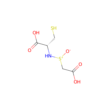 O=C(O)C[S+]([O-])N[C@@H](CS)C(=O)O